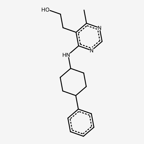 Cc1ncnc(NC2CCC(c3ccccc3)CC2)c1CCO